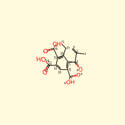 C=C(C)C(=O)c1c(C(=O)O)cc(C(=O)O)c(C(=O)O)c1CC